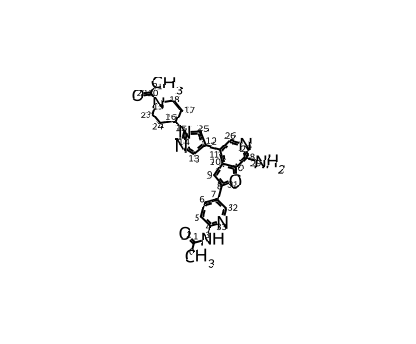 CC(=O)Nc1ccc(-c2cc3c(-c4cnn(C5CCN(C(C)=O)CC5)c4)cnc(N)c3o2)cn1